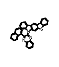 c1ccc2c(-c3nc4ccccc4nc3-n3c4ccccc4c4cc5c(cc43)sc3ccccc35)cccc2c1